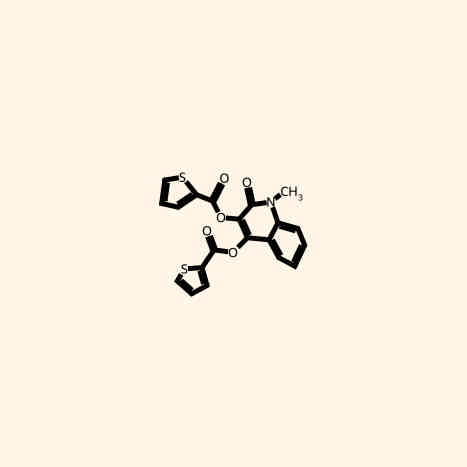 Cn1c(=O)c(OC(=O)c2cccs2)c(OC(=O)c2cccs2)c2ccccc21